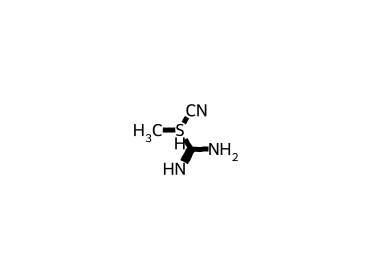 C[SH](C#N)C(=N)N